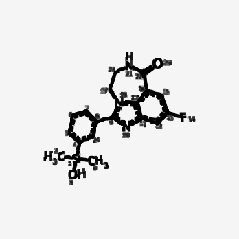 C[Si](C)(O)c1cccc(-c2nc3cc(F)cc4c3n2CCNC4=O)c1